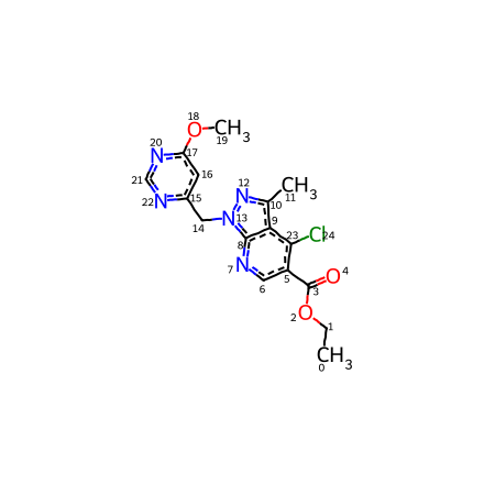 CCOC(=O)c1cnc2c(c(C)nn2Cc2cc(OC)ncn2)c1Cl